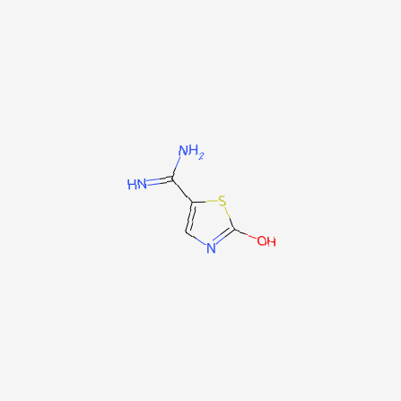 N=C(N)c1cnc(O)s1